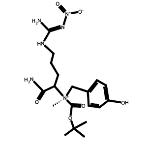 CC(C)(C)OC(=O)[N@+](C)(Cc1ccc(O)cc1)C(CCCNC(N)=N[N+](=O)[O-])C(N)=O